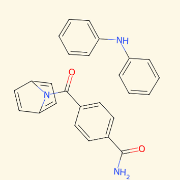 NC(=O)c1ccc(C(=O)n2c3ccc2cc3)cc1.c1ccc(Nc2ccccc2)cc1